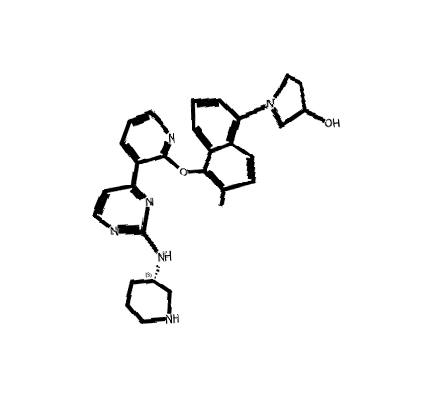 Cc1ccc2c(N3CCC(O)C3)cccc2c1Oc1ncccc1-c1ccnc(N[C@H]2CCCNC2)n1